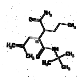 C=C(C)C[C@@H](C(=O)NC(C)(C)C)C(CCC)C(N)=O